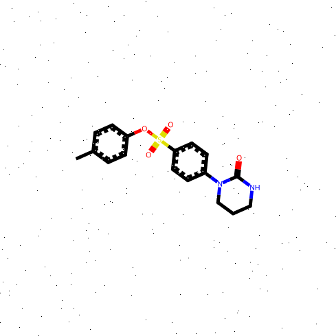 Cc1ccc(OS(=O)(=O)c2ccc(N3CCCNC3=O)cc2)cc1